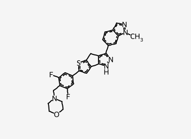 Cn1ncc2ccc(-c3n[nH]c4c3Cc3sc(-c5cc(F)c(CN6CCOCC6)c(F)c5)cc3-4)cc21